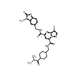 CN(C)C(=O)C1CCC(CNC(=O)c2cc(C(=O)NCc3ccc4oc(=O)n(C)c4c3)nc3c(F)cnn23)CC1